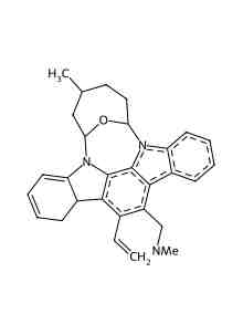 C=Cc1c2c3c4c(c1CNC)c1ccccc1n4C1CCC(C)CC(O1)N3C1=CC=CCC12